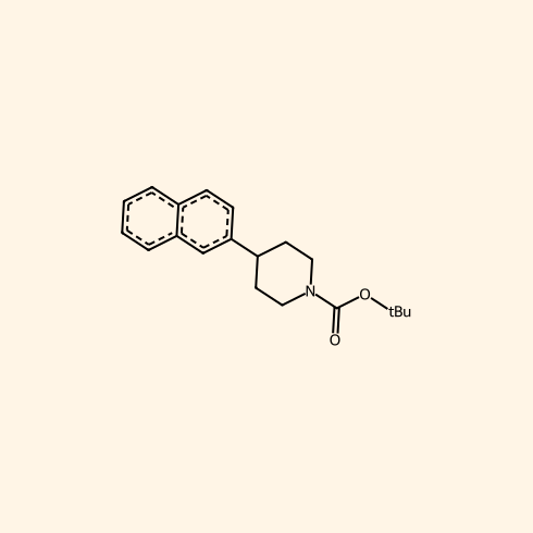 CC(C)(C)OC(=O)N1CCC(c2ccc3ccccc3c2)CC1